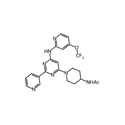 CC(=O)NC1CCN(c2cc(Nc3cc(OC(F)(F)F)ccn3)nc(-c3cccnc3)n2)CC1